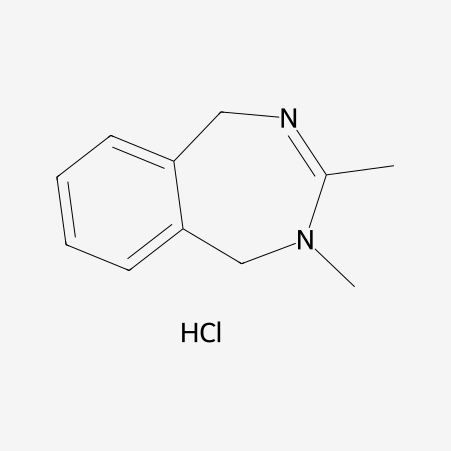 CC1=NCc2ccccc2CN1C.Cl